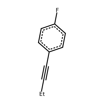 CCC#Cc1ccc(F)cc1